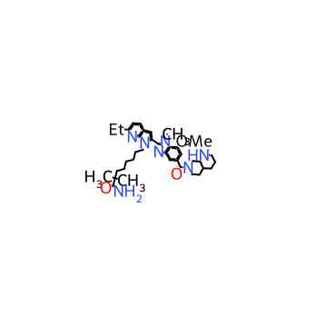 CCc1ccc2cc(-c3nc4cc(C(=O)N5CCC6CCCNC6C5)cc(OC)c4n3C)n(CCCCCCC(C)(C)C(N)=O)c2n1